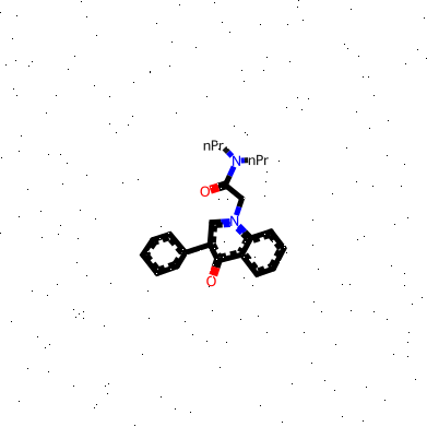 CCCN(CCC)C(=O)Cn1cc(-c2ccccc2)c(=O)c2ccccc21